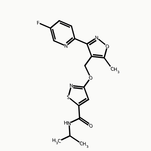 Cc1onc(-c2ccc(F)cn2)c1COc1cc(C(=O)NC(C)C)sn1